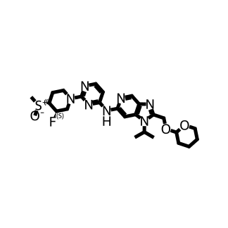 CC(C)n1c(COC2CCCCO2)nc2cnc(Nc3ccnc(N4CC[C@@H]([S+](C)[O-])[C@@H](F)C4)n3)cc21